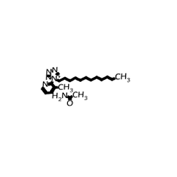 CC(N)=O.CCCCCCCCCCCC[N+]1(c2ncccc2C)C=NN=N1